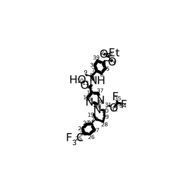 CCS(=O)(=O)c1ccc([C@H](CO)NC(=O)c2cnc(N3C[C@H](c4ccc(C(F)(F)F)cc4)CC[C@H]3COC(F)F)nc2)cc1